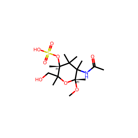 CO[C@]1(C)OC(C)(CO)[C@](C)(OS(=O)(=O)O)C(C)(C)C1(C)NC(C)=O